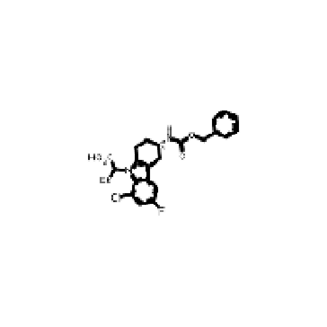 CCC(C(=O)O)n1c2c(c3cc(F)cc(Cl)c31)C[C@@H](NC(=O)OCc1ccccc1)CC2